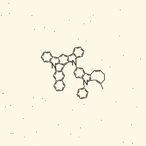 C/C1=C\c2c(c3cc(-n4c5ccccc5c5cc6c7ccccc7n7c8cc9ccccc9cc8c(c54)c67)ccc3n2-c2ccccc2)/C=C\CC1